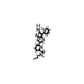 CCCN(C)C(=O)c1cccc(-c2cnc3c(-c4ccccn4)c(N)nn3c2)n1